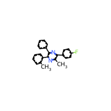 Cc1ccccc1-c1nc(C)c(-c2ccc(F)cc2)nc1-c1ccccc1